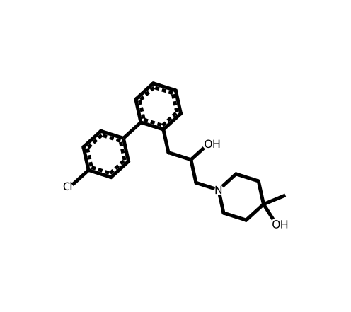 CC1(O)CCN(CC(O)Cc2ccccc2-c2ccc(Cl)cc2)CC1